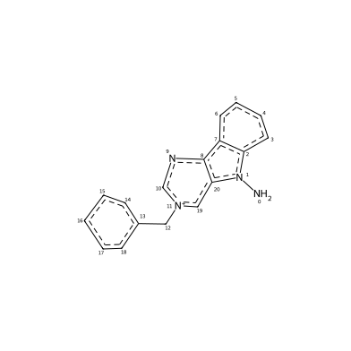 Nn1c2ccccc2c2nc[n+](Cc3ccccc3)cc21